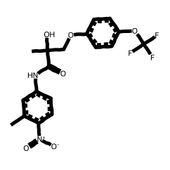 Cc1cc(NC(=O)C(C)(O)COc2ccc(OC(F)(F)F)cc2)ccc1[N+](=O)[O-]